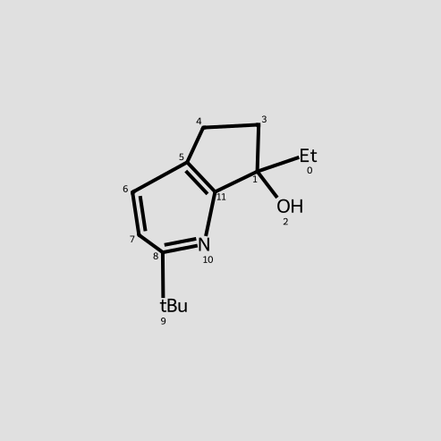 CCC1(O)CCc2ccc(C(C)(C)C)nc21